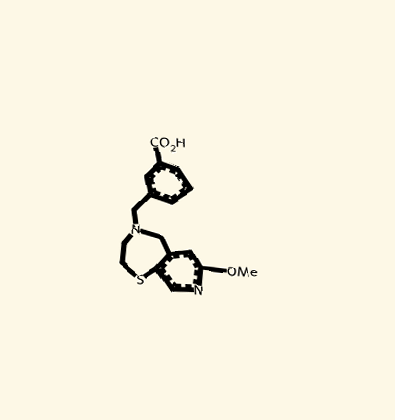 COc1cc2c(cn1)SCCN(Cc1cccc(C(=O)O)c1)C2